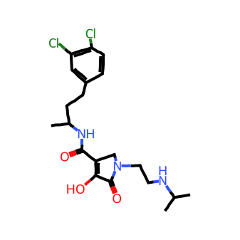 CC(C)NCCN1CC(C(=O)NC(C)CCc2ccc(Cl)c(Cl)c2)=C(O)C1=O